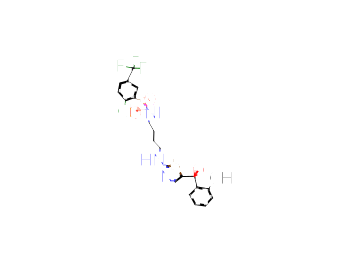 Cc1ccccc1C(=O)c1cnc(NCCCCNS(=O)(=O)c2cc(C(F)(F)F)ccc2Cl)s1